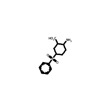 NC1CCC(S(=O)(=O)c2ccccc2)CC1C(=O)O